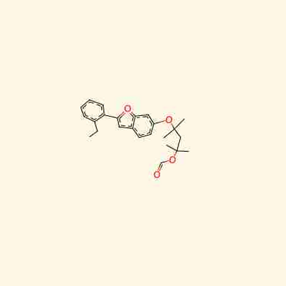 CCc1ccccc1-c1cc2ccc(OC(C)(C)CC(C)(C)OC=O)cc2o1